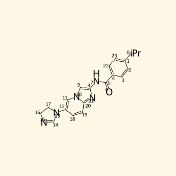 CC(C)c1ccc(C(=O)Nc2cn3cc(N4C=NCC4)ccc3n2)cc1